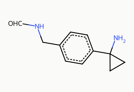 NC1(c2ccc(CNC=O)cc2)CC1